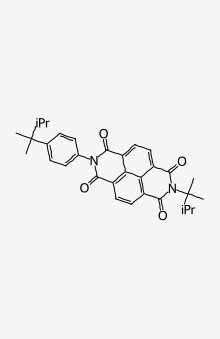 CC(C)C(C)(C)c1ccc(N2C(=O)c3ccc4c5c(ccc(c35)C2=O)C(=O)N(C(C)(C)C(C)C)C4=O)cc1